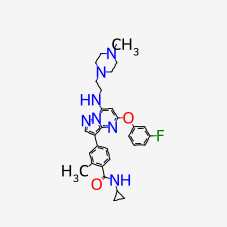 Cc1cc(-c2cnn3c(NCCN4CCN(C)CC4)cc(Oc4cccc(F)c4)nc23)ccc1C(=O)NC1CC1